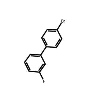 Fc1[c]ccc(-c2ccc(Br)cc2)c1